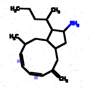 C=C1/C=C\C=C/C(C)CC2C(C1)CC(N)C2C(C)CCC